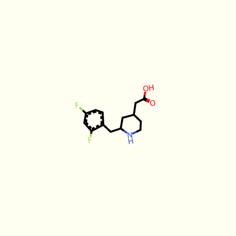 O=C(O)CC1CCNC(Cc2ccc(F)cc2F)C1